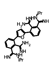 CC(C)NC(=N)c1cccc(-c2ccc(-c3cccc(C(=N)NC(C)C)c3C(=N)N)o2)c1C(=N)N